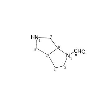 O=CN1CCC2CNCC21